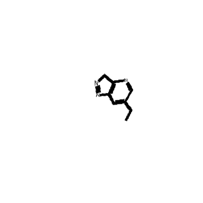 CCc1cnc2c(c1)N=NC2